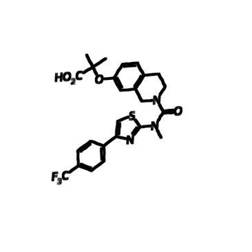 CN(C(=O)N1CCc2ccc(OC(C)(C)C(=O)O)cc2C1)c1nc(-c2ccc(C(F)(F)F)cc2)cs1